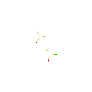 [O-][S+](Cl)Cl.[O-][S+](F)F